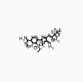 CCS(=O)(=O)c1cc(/C(N)=N\O)cnc1-c1nc(/C=C(\N)C(F)(F)C(F)(F)F)c(N)n1C